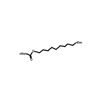 CCCCCCCCCCCCCCCCCCCOC(=O)CCCCCCCCC